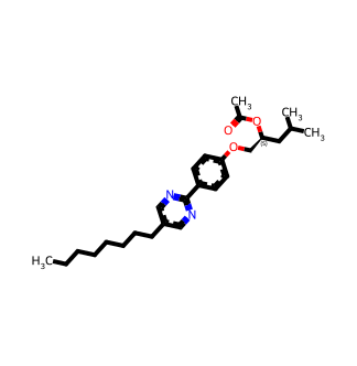 CCCCCCCCc1cnc(-c2ccc(OC[C@H](CC(C)C)OC(C)=O)cc2)nc1